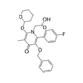 Cc1c(OC2CCCCO2)n(CC(=O)O)c(-c2ccc(F)cc2)c(OCc2ccccc2)c1=O